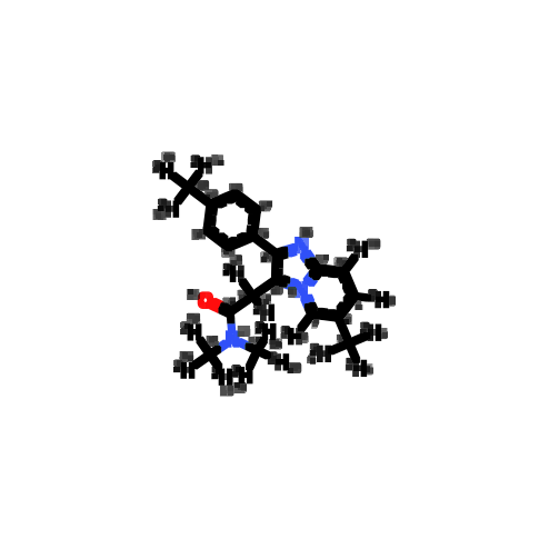 [2H]c1c(C([2H])([2H])[2H])c([2H])n2c(C([2H])([2H])C(=O)N(C([2H])([2H])[2H])C([2H])([2H])[2H])c(-c3ccc(C([2H])([2H])[2H])cc3)nc2c1[2H]